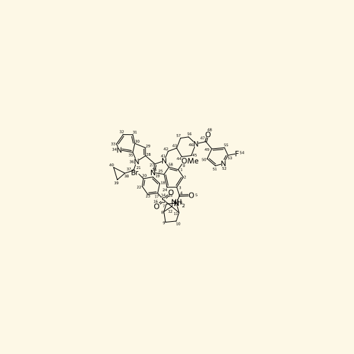 COc1cc(C(=O)N2CC3CCC2C3(N)S(=O)(=O)c2ccc(Br)cc2)cc2nc(-c3cc4cccnc4n3CC3CC3)n(CC3CCN(C(=O)c4ccnc(F)c4)CC3)c12